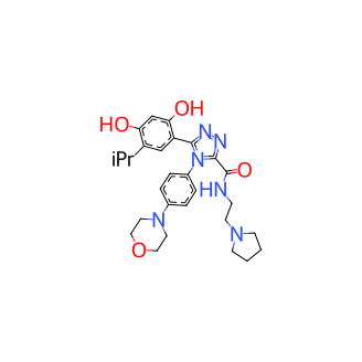 CC(C)c1cc(-c2nnc(C(=O)NCCN3CCCC3)n2-c2ccc(N3CCOCC3)cc2)c(O)cc1O